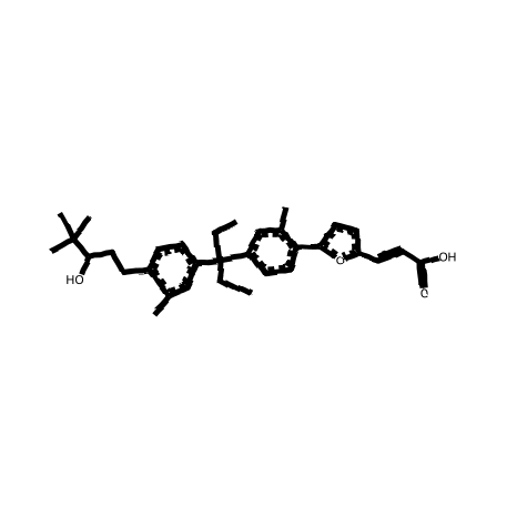 CCC(CC)(c1ccc(CCC(O)C(C)(C)C)c(C)c1)c1ccc(-c2ccc(/C=C/C(=O)O)o2)c(C)c1